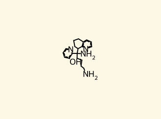 NCCCCC(N)(c1ncccc1O)C1CCCc2cccnc21